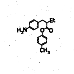 CCC(Cc1ccc(N)cc1)C(=O)Oc1ccc(C)cc1